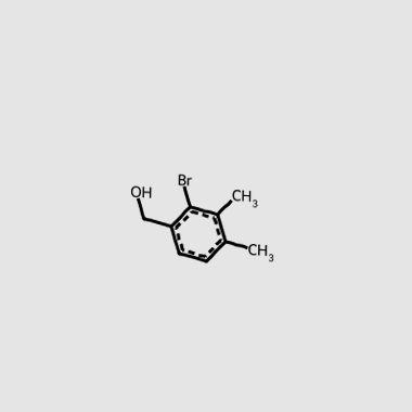 Cc1ccc(CO)c(Br)c1C